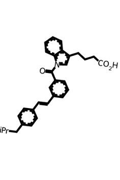 CC(C)Cc1ccc(C=Cc2cccc(C(=O)n3cc(CCCC(=O)O)c4ccccc43)c2)cc1